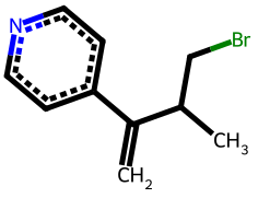 C=C(c1ccncc1)C(C)CBr